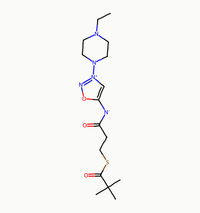 CCN1CCN([n+]2cc([N-]C(=O)CCSC(=O)C(C)(C)C)on2)CC1